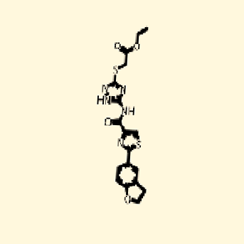 CCOC(=O)CSc1n[nH]c(NC(=O)c2csc(-c3ccc4c(c3)CCO4)n2)n1